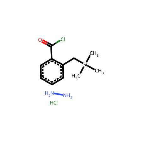 C[Si](C)(C)Cc1ccccc1C(=O)Cl.Cl.NN